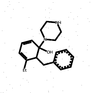 CCC1=CC=CC(O)(N2CCNCC2)C1Cc1ccccc1